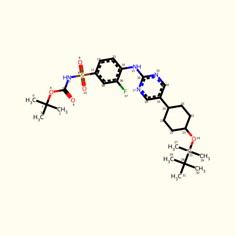 CC(C)(C)OC(=O)NS(=O)(=O)c1ccc(Nc2ncc(C3CCC(O[Si](C)(C)C(C)(C)C)CC3)cn2)c(F)c1